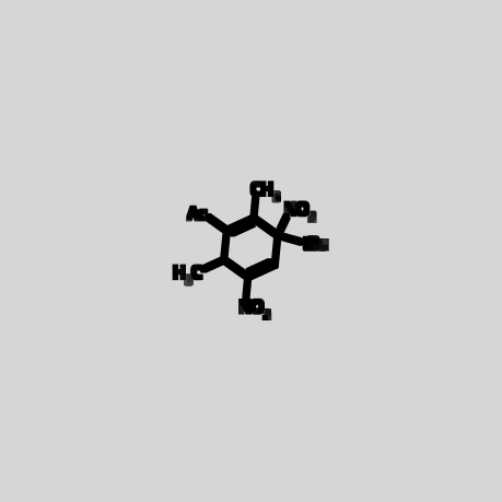 CC(=O)C1=C(C)C([N+](=O)[O-])(C(C)(C)C)C=C([N+](=O)[O-])C1C